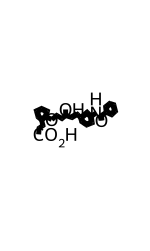 O=C(O)CCc1ccccc1OCCC(O)/C=C/c1cccc(NC(=O)c2ccccc2)c1